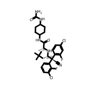 C[C@@H](N[C@@H](CC(C)(C)C)[C@](C#N)(c1ccc(Cl)cc1F)c1cccc(Cl)c1F)C(=O)NC1CCC(NC(N)=O)CC1